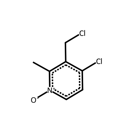 Cc1c(CCl)c(Cl)cc[n+]1[O-]